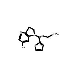 CNCC[C@H](c1cccs1)N1CCc2ncc(C(C)C)cc21